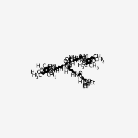 CCO[Si](CCCNC(=O)NCCCCC(=O)N[C@@H](CCCNC(=N)NS(=O)(=O)c1c(C)c(C)c2c(c1C)CC(C)(C)O2)C(=O)N[C@@H](CCCNC(=N)NS(=O)(=O)c1c(C)c(C)c2c(c1C)CC(C)(C)O2)C(N)=O)(OCC)OCC